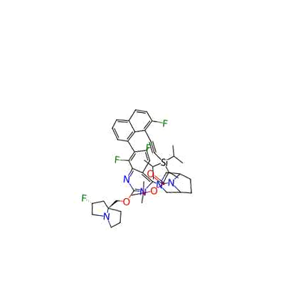 CC(C)[Si](C#Cc1c(F)ccc2cccc(-c3c(F)cc4c(N5CC6CCC(C5)N6C(=O)OC(C)(C)C)nc(OC[C@@]56CCCN5C[C@H](F)C6)nc4c3F)c12)(C(C)C)C(C)C